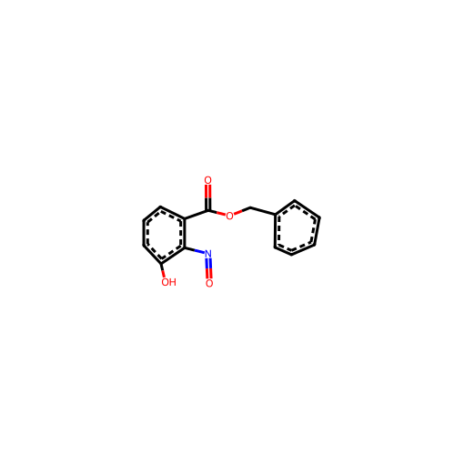 O=Nc1c(O)cccc1C(=O)OCc1ccccc1